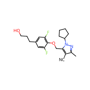 Cc1nn(C2CCCC2)c(COc2c(F)cc(CCCO)cc2F)c1C#N